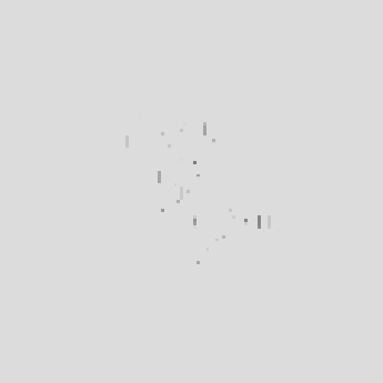 CC(CSP(=O)(S)CC(C)CC(C)(C)C)CC(C)(C)C